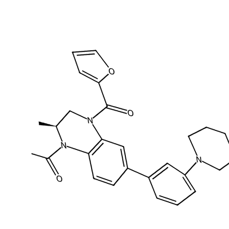 CC(=O)N1c2ccc(-c3cccc(N4CCCCC4)c3)cc2N(C(=O)c2ccco2)C[C@@H]1C